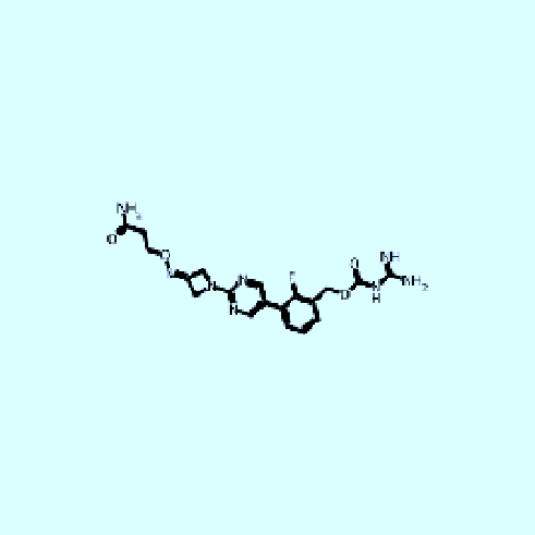 N=C(N)NC(=O)OCc1cccc(-c2cnc(N3CC(=NOCCC(N)=O)C3)nc2)c1F